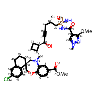 COC(=O)c1ccc2c(c1)N(C[C@@H]1CC[C@H]1C(O)C#CC[C@H](C)C[SH](N)(=O)NC(=O)c1cn(C)nc1OC)C[C@@]1(CCCc3cc(Cl)ccc31)CO2